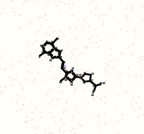 Cc1ncc(C)n2nc(/C=C/c3nc(N4CCC(C(F)F)C4)nn3C)nc12